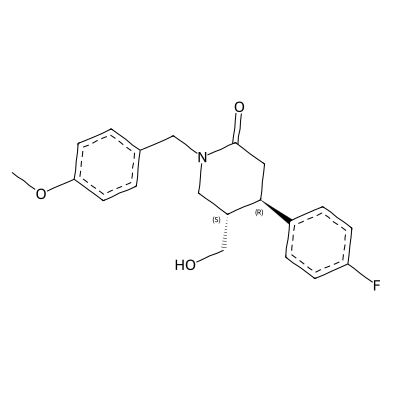 COc1ccc(CN2C[C@@H](CO)[C@H](c3ccc(F)cc3)CC2=O)cc1